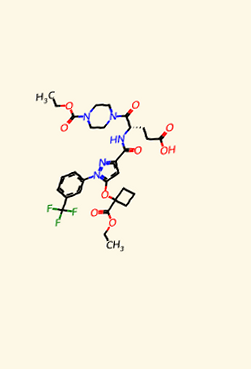 CCOC(=O)N1CCN(C(=O)[C@H](CCC(=O)O)NC(=O)c2cc(OC3(C(=O)OCC)CCC3)n(-c3cccc(C(F)(F)F)c3)n2)CC1